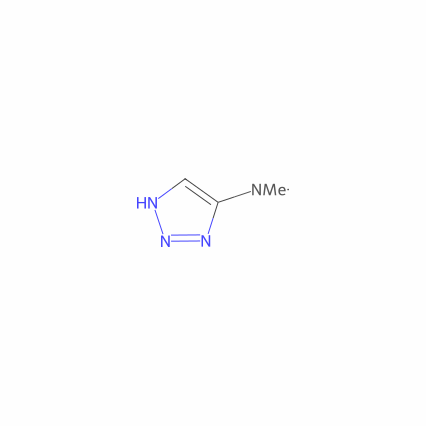 C[N]c1c[nH]nn1